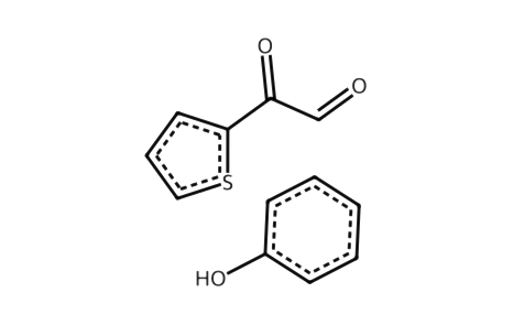 O=CC(=O)c1cccs1.Oc1ccccc1